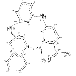 COc1cc(Nc2nccc(Nc3cnc4ccccc4c3)n2)ccc1C(N)=O